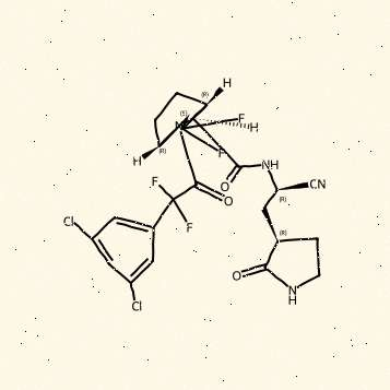 N#C[C@@H](C[C@H]1CCNC1=O)NC(=O)[C@@H]1[C@H]2CC[C@H](CC2(F)F)N1C(=O)C(F)(F)c1cc(Cl)cc(Cl)c1